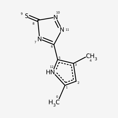 Cc1cc(C)c(C2=NC(=S)N=N2)[nH]1